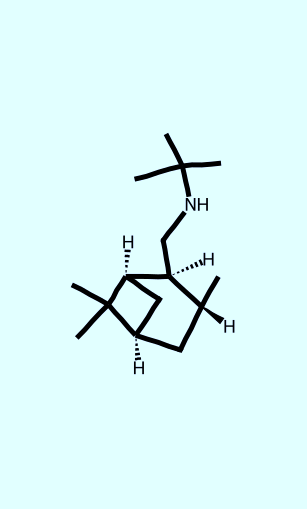 C[C@@H]1C[C@@H]2C[C@H]([C@H]1CNC(C)(C)C)C2(C)C